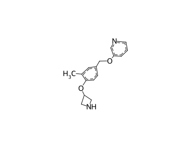 Cc1cc(COc2cccnc2)ccc1OC1CNC1